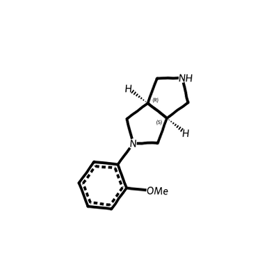 COc1ccccc1N1C[C@H]2CNC[C@H]2C1